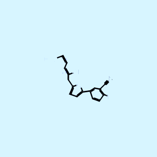 C/C=C\C=C(/C)Cc1ccc(-c2ccc(F)c(C#N)c2)o1